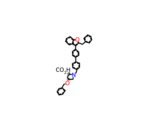 O=C(O)[C@@H]1C[C@@H](OCc2ccccc2)CN1Cc1ccc(-c2ccc(-c3c(Cc4ccccc4)oc4ccccc34)cc2)cc1